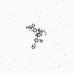 CN(C)Cc1cc(C2CCOCC2)ccc1-c1cnc(N)c(-c2cc3c(cc2F)C(=O)NCC3)n1